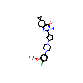 COc1cc(N2CCN([C@H]3C=C(c4nc5c(c(=O)[nH]4)CC4(CC5)CC4)CC3)CC2)ccc1F